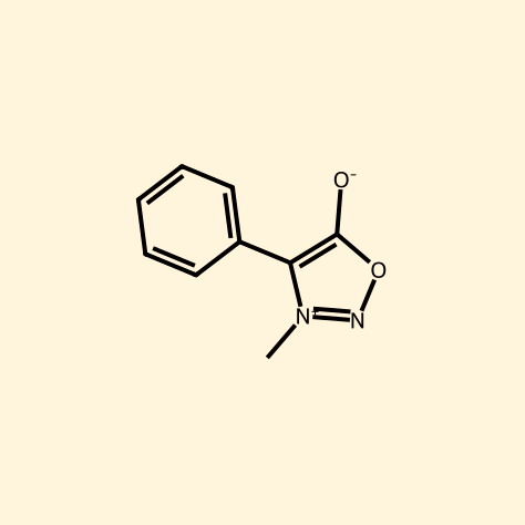 C[n+]1noc([O-])c1-c1ccccc1